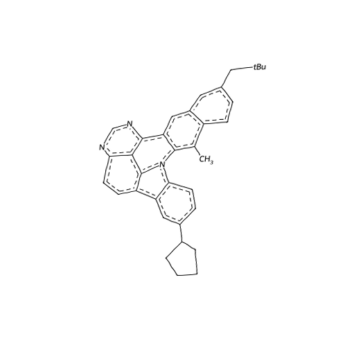 Cc1c2ccc(CC(C)(C)C)cc2cc2c3ncnc4ccc5c6cc(C7CCCC7)ccc6n(c12)c5c43